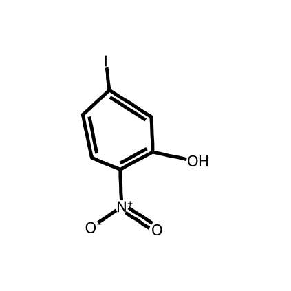 O=[N+]([O-])c1ccc(I)cc1O